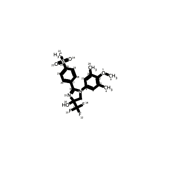 COc1c(C)cc(N2CC(O)(C(F)(F)F)N=C2c2ccc(S(C)(=O)=O)cc2)cc1C